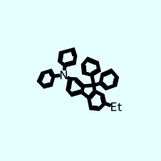 CCc1ccc2c(c1)C(c1ccccc1)(c1ccccc1)c1cc(N(c3ccccc3)c3ccccc3)ccc1-2